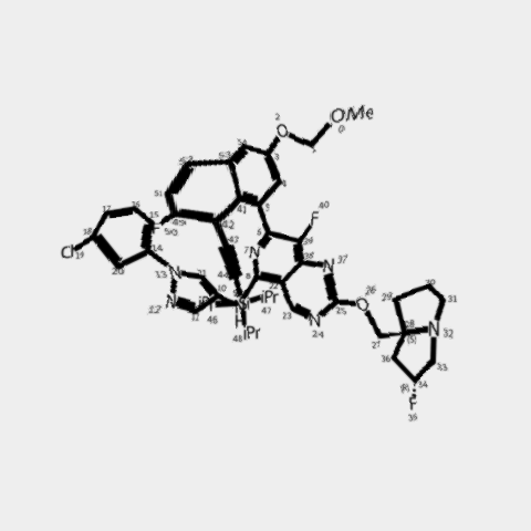 COCOc1cc(-c2nc(Nc3cnn(-c4cccc(Cl)c4)c3)c3cnc(OC[C@@]45CCCN4C[C@H](F)C5)nc3c2F)c2c(C#C[Si](C(C)C)(C(C)C)C(C)C)c(F)ccc2c1